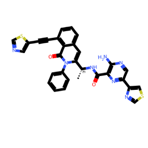 C[C@@H](NC(=O)c1nc(-c2cscn2)cnc1N)c1cc2cccc(C#Cc3cncs3)c2c(=O)n1-c1ccccc1